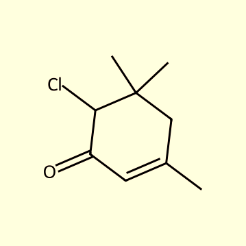 CC1=CC(=O)C(Cl)C(C)(C)C1